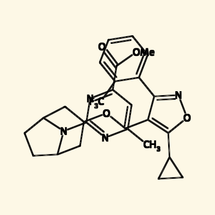 COC(=O)c1cc(C)nc(N2C3CCC2CC(OCc2c(-c4ccccc4C(F)(F)F)noc2C2CC2)C3)n1